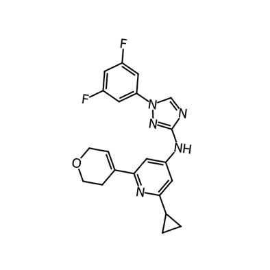 Fc1cc(F)cc(-n2cnc(Nc3cc(C4=CCOCC4)nc(C4CC4)c3)n2)c1